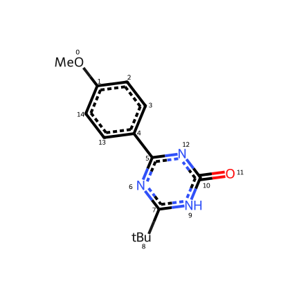 COc1ccc(-c2nc(C(C)(C)C)[nH]c(=O)n2)cc1